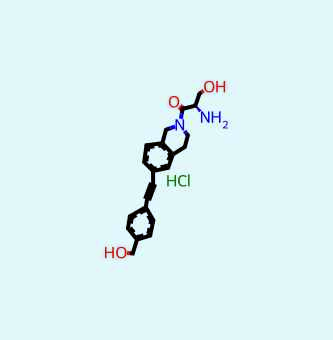 Cl.N[C@H](CO)C(=O)N1CCc2cc(C#Cc3ccc(CO)cc3)ccc2C1